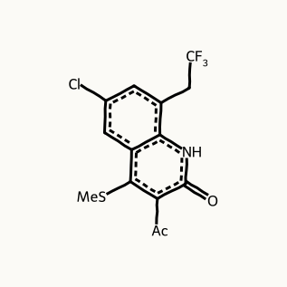 CSc1c(C(C)=O)c(=O)[nH]c2c(CC(F)(F)F)cc(Cl)cc12